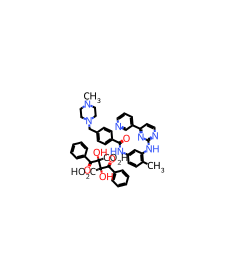 Cc1ccc(NC(=O)c2ccc(CN3CCN(C)CC3)cc2)cc1Nc1nccc(-c2cccnc2)n1.O=C(O)C(O)(C(=O)c1ccccc1)C(O)(C(=O)O)C(=O)c1ccccc1